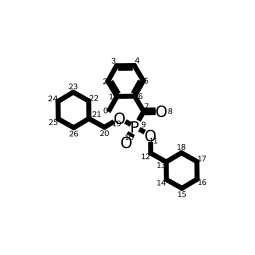 Cc1ccccc1C(=O)P(=O)(OCC1CCCCC1)OCC1CCCCC1